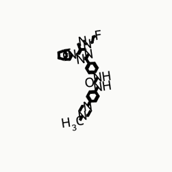 CN1CCN(c2ccc(NC(=O)Nc3ccc(-c4nc(N5CC6CCC(C5)O6)c5cnn(CCF)c5n4)cc3)cc2)CC1